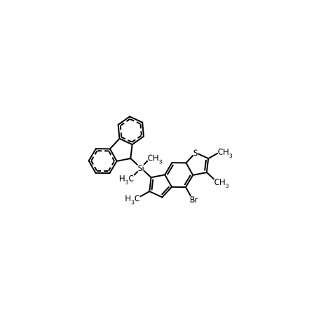 CC1=C([Si](C)(C)C2c3ccccc3-c3ccccc32)C2=CC3SC(C)=C(C)C3=C(Br)C2=C1